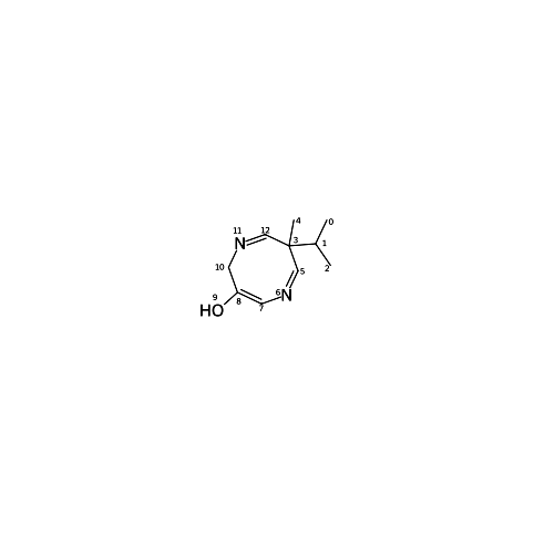 CC(C)C1(C)/C=N\C=C(\O)C/N=C\1